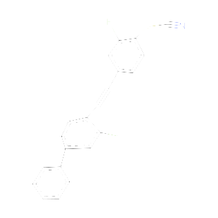 N#CSc1ccc(C#Cc2ccc(-c3ccccc3)cc2F)cc1F